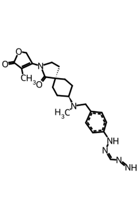 CC1=C(N2CC[C@]3(CC[C@H](N(C)Cc4ccc(N/N=C\N=N)cc4)CC3)C2=O)COC1=O